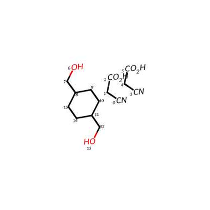 N#CCC(=O)O.N#CCC(=O)O.OCC1CCC(CO)CC1